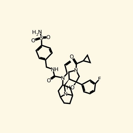 C=CCN(C(=O)NCc1ccc(S(N)(=O)=O)cc1)C1CC2CCC(C1)N2C[C@H]1CN(C(=O)C2CC2)C[C@]1(O)c1cccc(F)c1